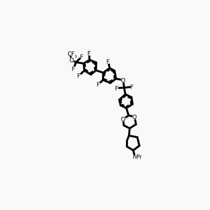 CCCC1CCC(C2COC(c3ccc(C(F)(F)Oc4cc(F)c(-c5cc(F)c(C(F)(F)OC(F)(F)F)c(F)c5)c(F)c4)cc3)OC2)CC1